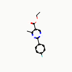 CCOC(=O)c1cnc(-c2ccc(F)cc2)nc1C